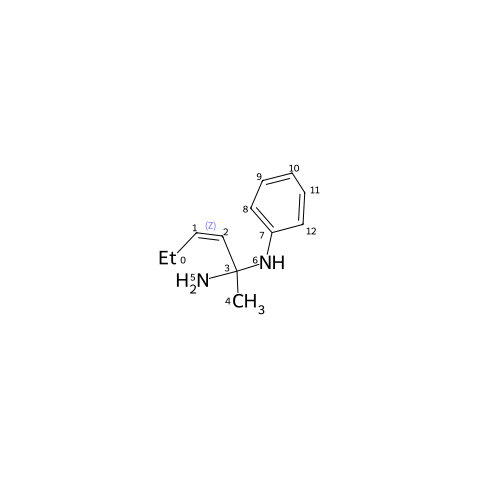 CC/C=C\C(C)(N)Nc1ccccc1